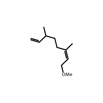 C=CC(C)CCC(C)=CCOC